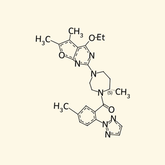 CCOc1nc(N2CC[C@H](C)N(C(=O)c3cc(C)ccc3-n3nccn3)CC2)nc2oc(C)c(C)c12